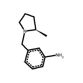 C[C@@H]1CCCN1Cc1[c]ccc(N)c1